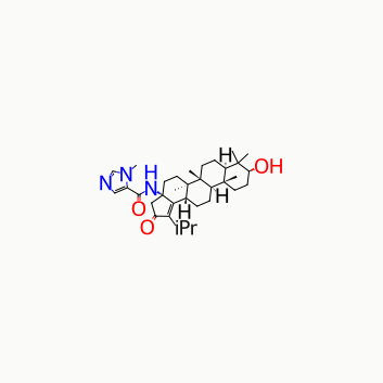 CC(C)C1=C2[C@H]3CC[C@@H]4[C@@]5(C)CC[C@H](O)C(C)(C)[C@@H]5CC[C@@]4(C)[C@]3(C)CC[C@@]2(NC(=O)c2cncn2C)CC1=O